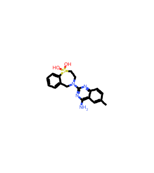 Cc1ccc2nc(N3CCS(O)(O)c4ccccc4C3)nc(N)c2c1